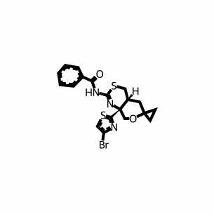 O=C(NC1=N[C@@]2(c3nc(Br)cs3)COC3(CC3)C[C@H]2CS1)c1ccccc1